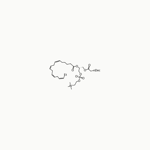 CC/C=C\C/C=C\C/C=C\C/C=C\CCCCC(=O)O[C@H](COC(=O)CCCCCCCCCCC)COP(=O)([O-])OCC[N+](C)(C)C